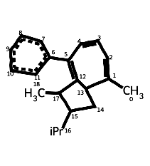 CC1=CC=CC(c2ccccc2)=C2C1CC(C(C)C)C2C